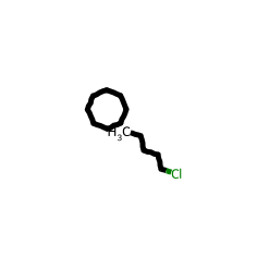 C1CCCCCCC1.CCCCCCl